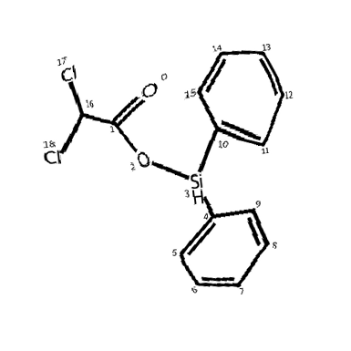 O=C(O[SiH](c1ccccc1)c1ccccc1)C(Cl)Cl